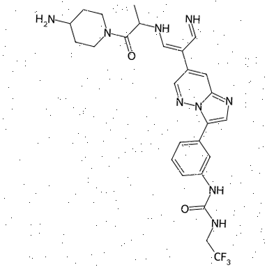 CC(N/C=C(\C=N)c1cnn2c(-c3cccc(NC(=O)NCC(F)(F)F)c3)cnc2c1)C(=O)N1CCC(N)CC1